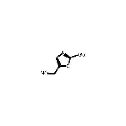 CC(C)(C)c1ncc(CC#N)o1